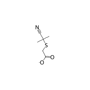 CC(C)(C#N)SCC([O])=O